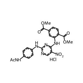 COC(=O)c1ccc(C(=O)OC)c(Nc2nc(Nc3ccc(NC(C)=O)cc3)ncc2[N+](=O)[O-])c1.Cl